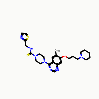 COc1cc2c(N3CCN(C(=S)NCc4nccs4)CC3)ncnc2cc1OCCCN1CCCCC1